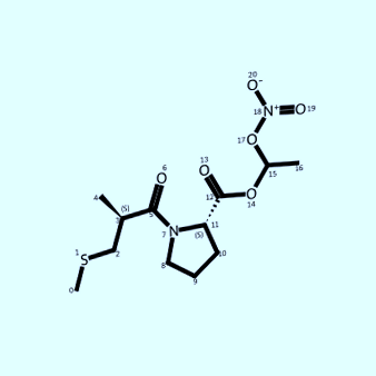 CSC[C@@H](C)C(=O)N1CCC[C@H]1C(=O)OC(C)O[N+](=O)[O-]